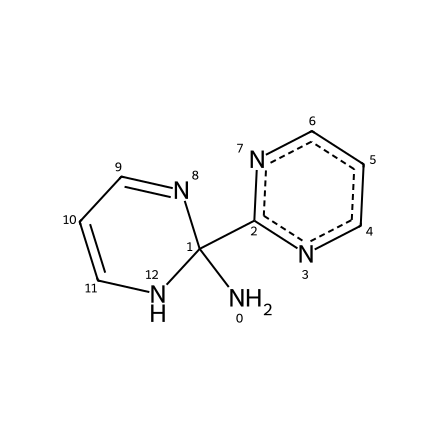 NC1(c2ncccn2)N=CC=CN1